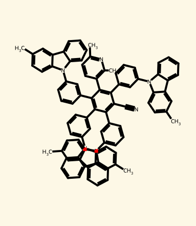 Cc1ccc2c(c1)c1ccccc1n2-c1cccc(-c2c(C#N)c(-c3cccc(-n4c5ccccc5c5cc(C)ccc54)c3)c(-c3ccc(C)nc3C)c(-c3cccc(-n4c5ccccc5c5cc(C)ccc54)c3)c2-c2cccc(-n3c4ccccc4c4cc(C)ccc43)c2)c1